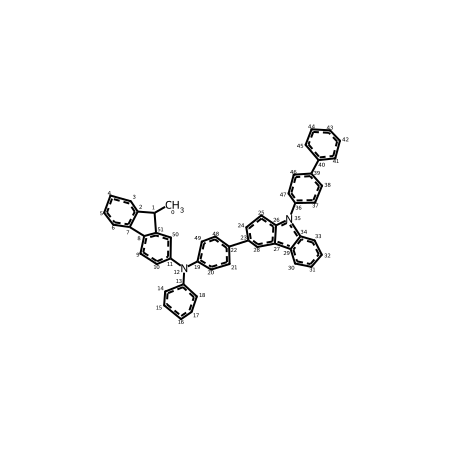 CC1c2ccccc2-c2ccc(N(c3ccccc3)c3ccc(-c4ccc5c(c4)c4ccccc4n5-c4ccc(-c5ccccc5)cc4)cc3)cc21